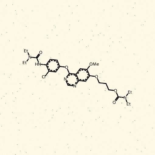 CCN(CC)C(=O)Nc1ccc(Oc2ncnc3cc(OCCCOC(=O)N(CC)CC)c(OC)cc23)cc1Cl